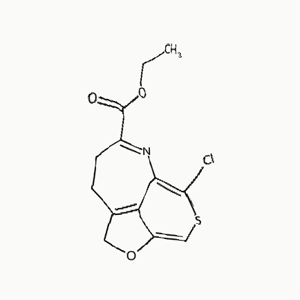 CCOC(=O)C1=NC2=C(Cl)SC=C3OCC(=C32)CC1